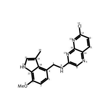 COc1ccc(CNc2cnc3ccc(Cl)nc3n2)c2c(C)c[nH]c12